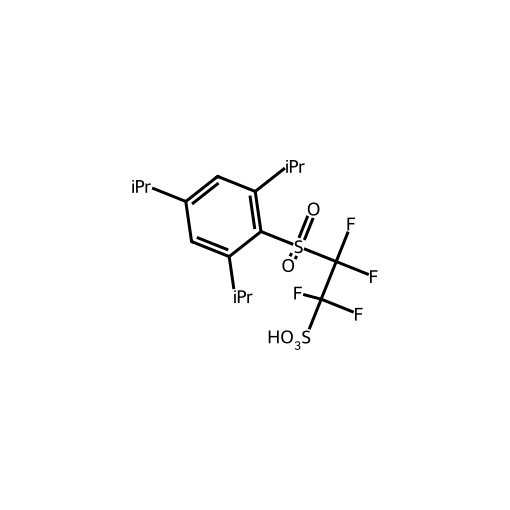 CC(C)c1cc(C(C)C)c(S(=O)(=O)C(F)(F)C(F)(F)S(=O)(=O)O)c(C(C)C)c1